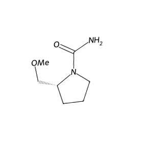 COC[C@H]1CCCN1C(N)=O